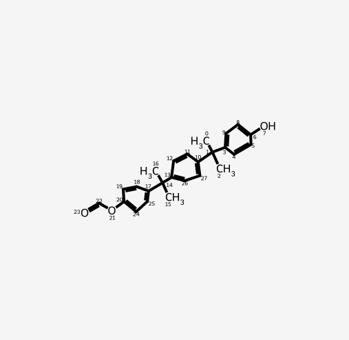 CC(C)(c1ccc(O)cc1)c1ccc(C(C)(C)c2ccc(OC=O)cc2)cc1